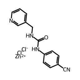 N#Cc1ccc(NC(=O)NCc2cccnc2)cc1.[Cl-].[Cl-].[Zn+2]